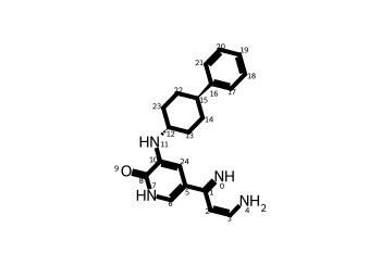 N=C(/C=C\N)c1c[nH]c(=O)c(N[C@H]2CC[C@H](c3ccccc3)CC2)c1